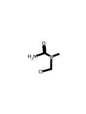 CN(CCl)C(N)=O